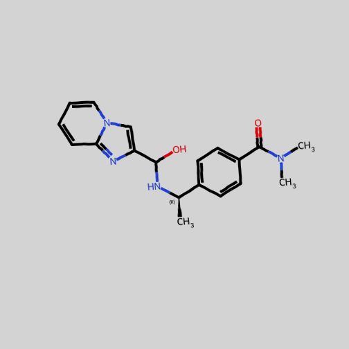 C[C@@H](NC(O)c1cn2ccccc2n1)c1ccc(C(=O)N(C)C)cc1